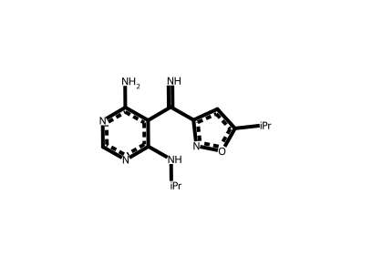 CC(C)Nc1ncnc(N)c1C(=N)c1cc(C(C)C)on1